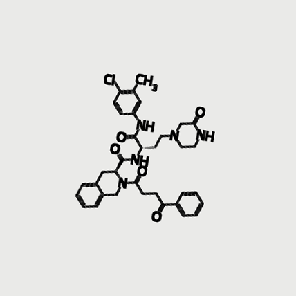 Cc1cc(NC(=O)[C@H](CCN2CCNC(=O)C2)NC(=O)[C@@H]2Cc3ccccc3CN2C(=O)CCC(=O)c2ccccc2)ccc1Cl